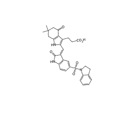 CC1(C)CC(=O)c2c([nH]c(C=C3C(=O)Nc4ccc(S(=O)(=O)N5CCc6ccccc65)cc43)c2CCC(=O)O)C1